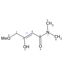 COC/C(O)=C/C(=O)N(C)C